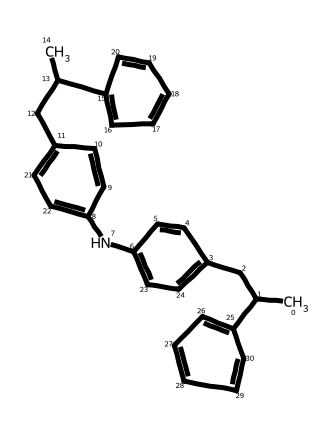 CC(Cc1ccc(Nc2ccc(CC(C)c3ccccc3)cc2)cc1)c1ccccc1